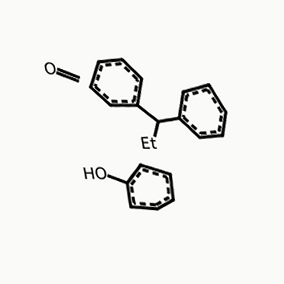 C=O.CCC(c1ccccc1)c1ccccc1.Oc1ccccc1